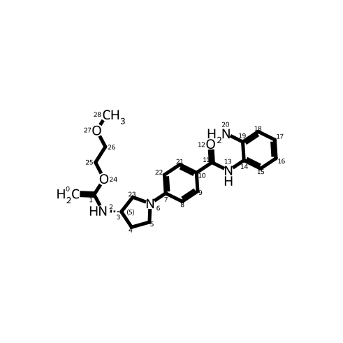 C=C(N[C@H]1CCN(c2ccc(C(=O)Nc3ccccc3N)cc2)C1)OCCOC